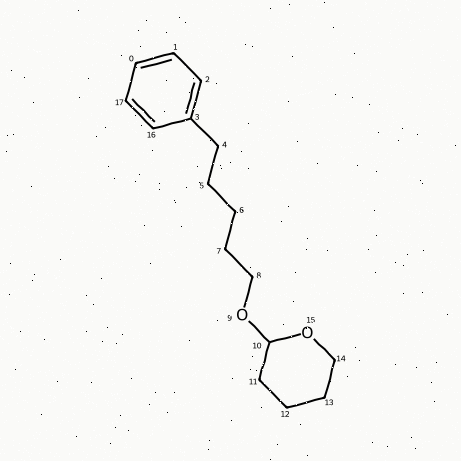 c1ccc(CCCCCOC2CCCCO2)cc1